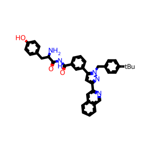 CC(C)(C)c1ccc(Cn2nc(-c3cc4ccccc4cn3)cc2-c2cccc(C(=O)NC(=O)C(N)Cc3ccc(O)cc3)c2)cc1